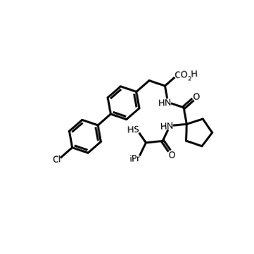 CC(C)C(S)C(=O)NC1(C(=O)NC(Cc2ccc(-c3ccc(Cl)cc3)cc2)C(=O)O)CCCC1